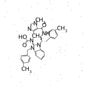 Cc1ccc(C[C@@H](CNC(=O)c2c(C)ncn2C)n2/c(=N/C(=O)O)n(Cc3ccc(C)cc3)c3ccccc32)cc1